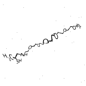 CC(S)CNCCOCCOCCOCCOCCOCCOC(C)C